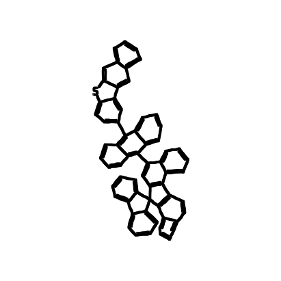 c1ccc2c(c1)-c1ccccc1C21c2cc(-c3c4ccccc4c(-c4ccc5sc6cc7ccccc7cc6c5c4)c4ccccc34)c3ccccc3c2-c2ccc3ccccc3c21